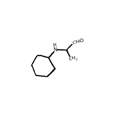 [CH2]C(C=O)NC1CCCCC1